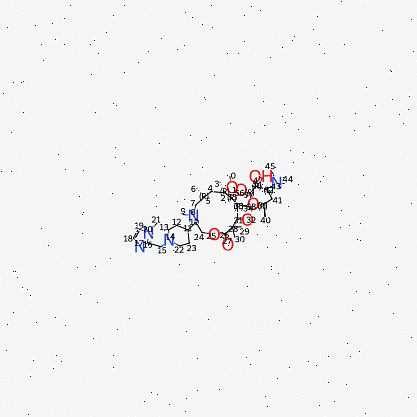 CO[C@]1(C)C[C@@H](C)CN(C)C(C2CCN(Cc3nccn3C)CC2)COC(=O)C(C)(C)C(=O)[C@H](C)[C@H]1O[C@@H]1O[C@H](C)C[C@H](N(C)C)[C@H]1O